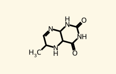 CC1C=NC2NC(=O)NC(=O)C2N1